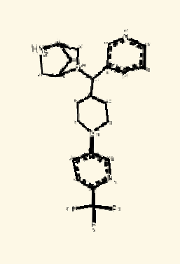 FC(F)(F)c1ccc(N2CCC(C(c3cccnc3)N3CC4CC3CN4)CC2)cn1